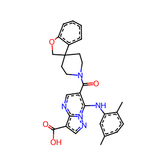 Cc1ccc(C)c(Nc2c(C(=O)N3CCC4(CC3)COc3ccccc34)cnc3c(C(=O)O)cnn23)c1